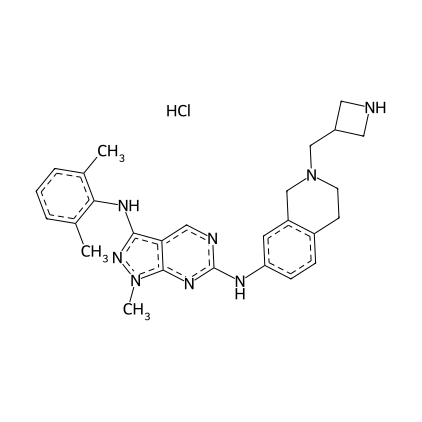 Cc1cccc(C)c1Nc1nn(C)c2nc(Nc3ccc4c(c3)CN(CC3CNC3)CC4)ncc12.Cl